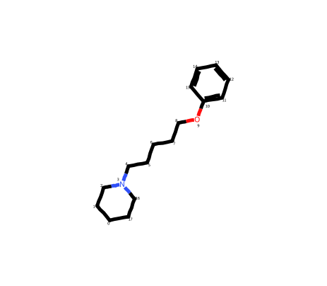 [CH]1CCN(CCCCCOc2ccccc2)CC1